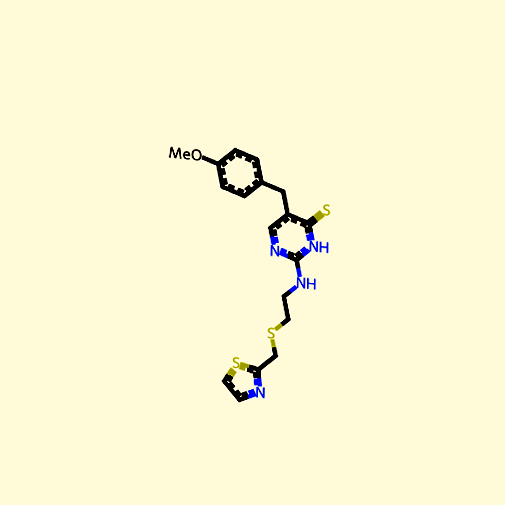 COc1ccc(Cc2cnc(NCCSCc3nccs3)[nH]c2=S)cc1